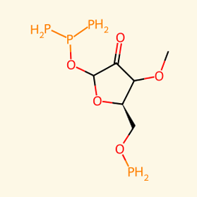 COC1C(=O)C(OP(P)P)O[C@@H]1COP